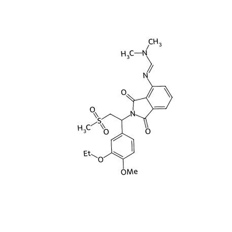 CCOc1cc(C(CS(C)(=O)=O)N2C(=O)c3cccc(N=CN(C)C)c3C2=O)ccc1OC